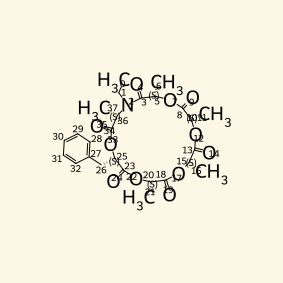 CCN1C(=O)[C@H](C)OC(=O)[C@H](C)OC(=O)[C@H](C)OC(=O)[C@H](C)OC(=O)[C@H](Cc2ccccc2)OC(=O)[C@@H]1C